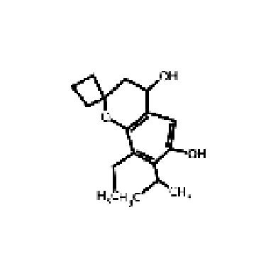 CCc1c2c(cc(O)c1C(C)C)C(O)CC1(CCC1)O2